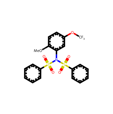 COc1ccc(OC(F)(F)F)cc1N(S(=O)(=O)c1ccccc1)S(=O)(=O)c1ccccc1